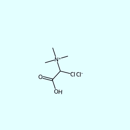 C[N+](C)(C)C(Cl)C(=O)O.[Cl-]